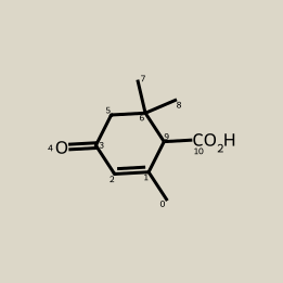 CC1=CC(=O)CC(C)(C)C1C(=O)O